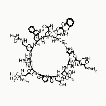 C[C@@H](O)[C@@H]1NC(=O)[C@@H](NC(=O)[C@H](CS)NC(=O)CN)Cc2cn(nn2)CCC[C@H](C(=O)N[C@@H](Cc2ccccc2)C(=O)O)NC(=O)[C@H](CCC(N)=O)NC(=O)[C@H](Cc2c[nH]c3ccccc23)NC(=O)[C@H](CCCNC(N)=O)NC(=O)[C@H](CS)NC(=O)[C@H](CCCNC(C)(N)N)NC(=O)[C@@H]2CCCN2C(=O)[C@H](CC(=O)O)NC1=O